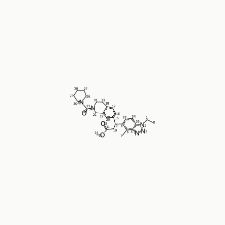 CCn1nnc2c(C)c(C(CC(=O)OC)c3ccc4c(c3)CN(C(=O)N3CCCCC3)CC4)ccc21